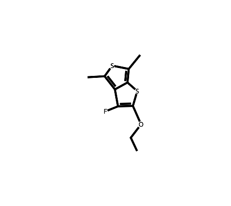 CCOc1sc2c(C)sc(C)c2c1F